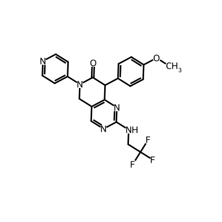 COc1ccc(C2C(=O)N(c3ccncc3)Cc3cnc(NCC(F)(F)F)nc32)cc1